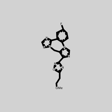 COCCc1nc(-c2ncn3c2Cn2ncnc2-c2cc(F)ccc2-3)no1